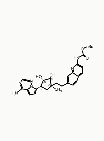 CCCCOC(=O)Nc1ccc2ccc(CC[C@@]3(C)C[C@@H](c4ccc5c(N)ncnn45)[C@H](O)[C@@H]3O)cc2n1